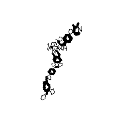 Cc1nccc(Oc2ccc(CC(NC(=O)[C@@H]3Cc4cc5c(cc4CN3C(=O)N(C)C)O[C@@H](c3ccc(OCc4ccc(Cl)c(Cl)c4)cc3)CO5)C(=O)O)cc2)c1C